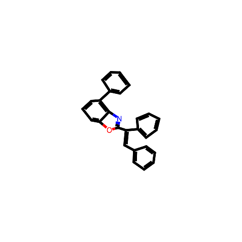 C(=C(c1ccccc1)c1nc2c(-c3ccccc3)cccc2o1)c1ccccc1